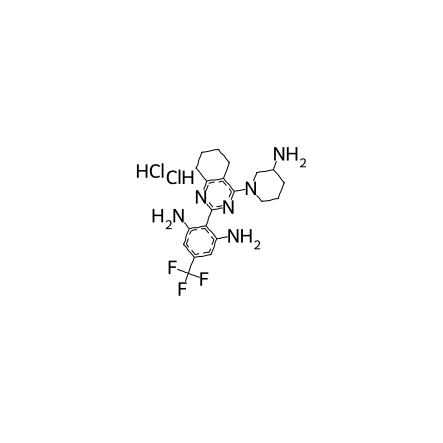 Cl.Cl.Nc1cc(C(F)(F)F)cc(N)c1-c1nc2c(c(N3CCCC(N)C3)n1)CCCC2